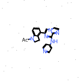 CC(=O)N1CCc2c(-c3cn4ccnc4c(Nc4ccncc4)n3)cccc21